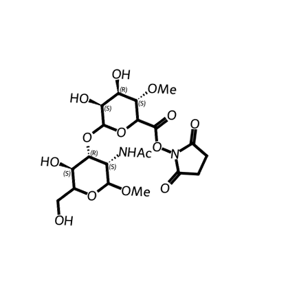 COC1OC(CO)[C@@H](O)[C@H](OC2OC(C(=O)ON3C(=O)CCC3=O)[C@@H](OC)[C@H](O)[C@@H]2O)[C@@H]1NC(C)=O